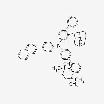 CC1(C)CCC(C)(C)c2c(-c3ccc(N(c4ccc(-c5ccc6ccccc6c5)cc4)c4ccc5c(c4)C4(c6ccccc6-5)C5CC6CC7CC4C75C6)cc3)cccc21